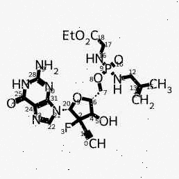 C#CC1(F)C(O)[C@@H](COP(=O)(NCC(=C)C)NCC(=O)OCC)O[C@H]1n1cnc2c(=O)[nH]c(N)nc21